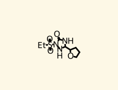 CCS(=O)(=O)N1NC(C2CCCO2)NC1=O